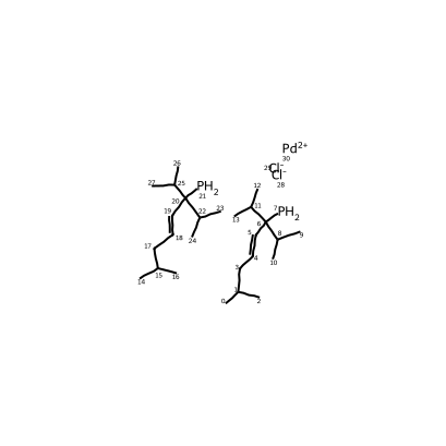 CC(C)CC=CC(P)(C(C)C)C(C)C.CC(C)CC=CC(P)(C(C)C)C(C)C.[Cl-].[Cl-].[Pd+2]